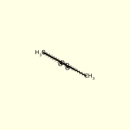 CCCCCCCCCCCCCCCC(=O)OC[CH]COC(=O)CCCCCCCCCCCCCCC